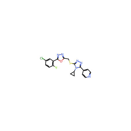 Fc1ccc(Cl)cc1-c1nnc(CSc2nnc(-c3ccncc3)n2C2CC2)o1